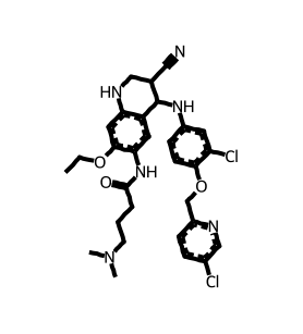 CCOc1cc2c(cc1NC(=O)CCCN(C)C)C(Nc1ccc(OCc3ccc(Cl)cn3)c(Cl)c1)C(C#N)CN2